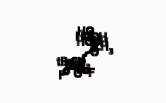 CN(CC(O)C(O)C(O)C(O)CO)C(=O)CCCC=Cc1ccc(C2C(CCC(O[Si](C)(C)C(C)(C)C)c3ccc(F)cc3)C(=O)N2c2ccc(F)cc2)cc1